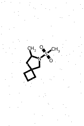 CC1CC2(CCC2)CN1S(C)(=O)=O